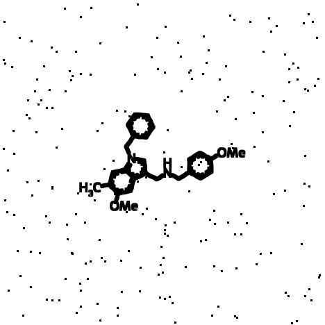 COc1ccc(CNCc2cn(Cc3ccccc3)c3cc(C)c(OC)cc23)cc1